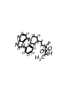 CNS(=O)(=O)N(I)CCC1CCN(c2ccnc3ncn(-c4ccccc4)c23)CC1